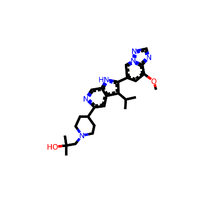 COc1cc(-c2[nH]c3cnc(C4CCN(CC(C)(C)O)CC4)cc3c2C(C)C)cn2ncnc12